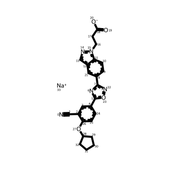 N#Cc1cc(-c2nc(-c3ccc4c(cnn4CCC(=O)[O-])c3)no2)ccc1OC1CCCC1.[Na+]